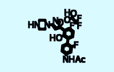 CC(=O)Nc1ccc(-c2cccc(-c3cc(N4CCNCC4)no3)c2O)c(F)c1.O=C(O)C(F)(F)F